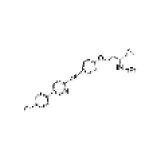 CCCNC(CCOc1ccc(C#Cc2ccc(-c3ccc(Cl)cc3)cn2)cc1)C1CC1